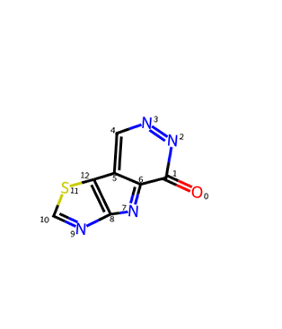 O=C1N=NC=C2C1=Nc1ncsc12